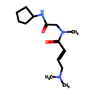 CN(C)C/C=C/C(=O)N(C)CC(=O)NC1CCCC1